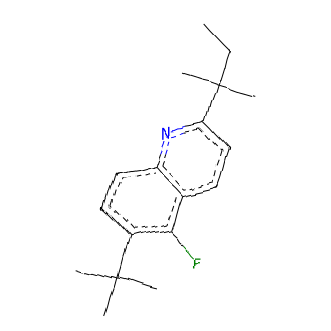 CCC(C)(C)c1ccc2c(F)c(C(C)(C)C)ccc2n1